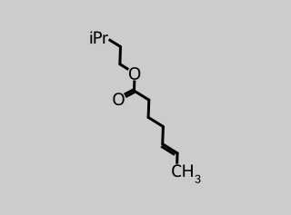 CC=CCCCC(=O)OCCC(C)C